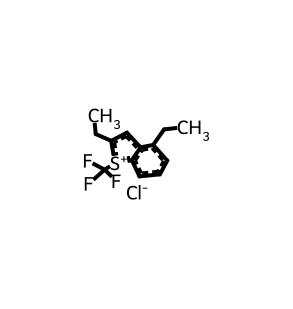 CCc1cccc2c1cc(CC)[s+]2C(F)(F)F.[Cl-]